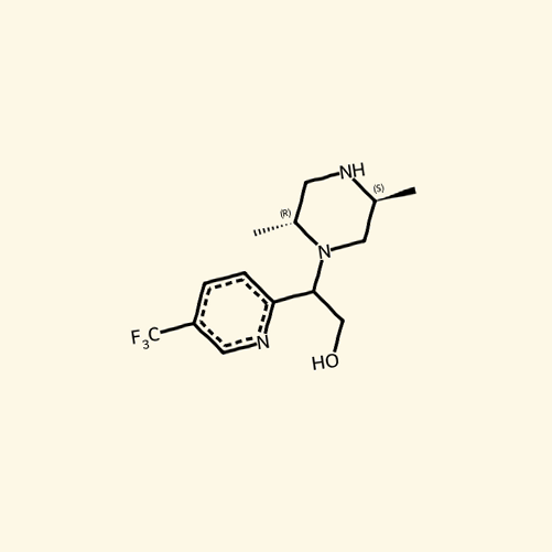 C[C@@H]1CN[C@@H](C)CN1C(CO)c1ccc(C(F)(F)F)cn1